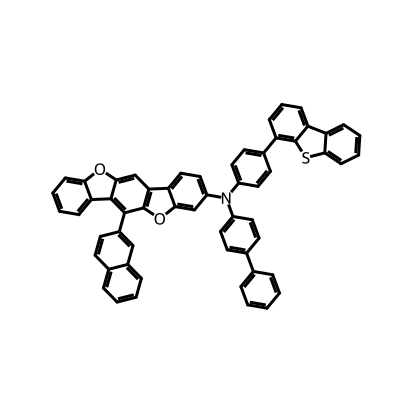 c1ccc(-c2ccc(N(c3ccc(-c4cccc5c4sc4ccccc45)cc3)c3ccc4c(c3)oc3c(-c5ccc6ccccc6c5)c5c(cc34)oc3ccccc35)cc2)cc1